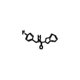 O=C(NCc1ccc(F)cc1)C1Cc2ccccc2C1